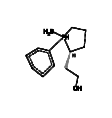 B[PH]1(c2ccccc2)CCC[C@@H]1CCO